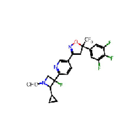 O=CN1CC(F)(c2ccc(C3=NOC(c4cc(F)c(F)c(F)c4)(C(F)(F)F)C3)cn2)C1C1CC1